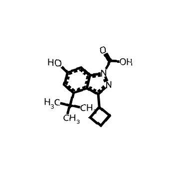 CC(C)(C)c1cc(O)cc2c1c(C1CCC1)nn2C(=O)O